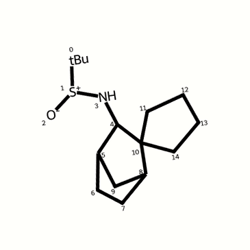 CC(C)(C)[S+]([O-])NC1C2CCC(C2)C12CCCC2